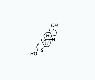 C[C@]12C=CC(O)SC1=CC[C@@H]1[C@H]2CC[C@]2(C)C(O)CC[C@@H]12